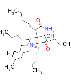 CCCCCC(C(N)=O)C(CCCCC)(CCCCC)[C@@](CCCCC)(C(=O)O)N(CCCCC)CCCCC